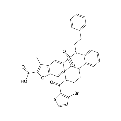 Cc1c(C(=O)O)oc2ccc(S(=O)(=O)N(CCc3ccccc3)c3ccccc3N3CCN(C(=O)c4sccc4Br)CC3C)cc12